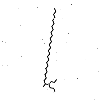 CCCCCCCCCCCCCCCCCCCCCCCCCC(C)N(CCC)CCC